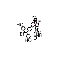 CCC(=C(c1ccc(O)cc1)c1ccc(N2CCC(CN3C4CCC3CN(c3cc5c(cc3F)CN(C3CCC(=O)NC3=O)C5)C4)CC2)cc1)c1ccc(O)cc1